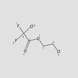 O=C(OCCCl)C(F)(F)Cl